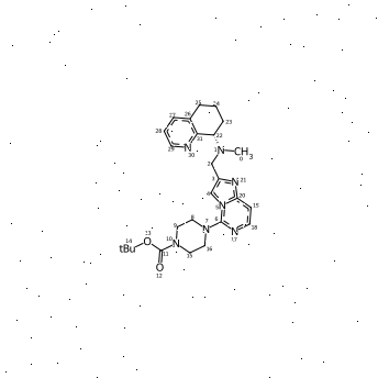 CN(Cc1cn2c(N3CCN(C(=O)OC(C)(C)C)CC3)nccc2n1)[C@H]1CCCc2cccnc21